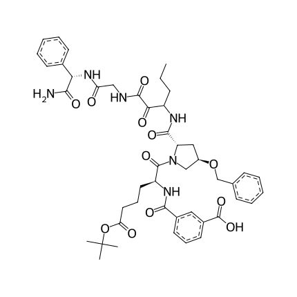 CCCC(NC(=O)[C@@H]1C[C@@H](OCc2ccccc2)CN1C(=O)[C@H](CCCC(=O)OC(C)(C)C)NC(=O)c1cccc(C(=O)O)c1)C(=O)C(=O)NCC(=O)N[C@H](C(N)=O)c1ccccc1